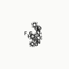 Cc1c(N2CCN(S(=O)(=O)Cc3ccccc3)CC2)ccc2nc(Oc3ccccc3)n(Cc3ccc(C(F)(F)F)cc3)c12